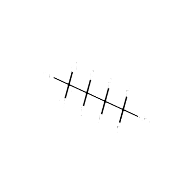 FC(F)(F)C(F)(F)C(F)(F)C(F)(F)C(F)(Cl)Cl